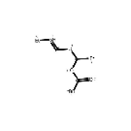 CC[SH]=COC(OC(=O)C(C)(C)C)C(C)C